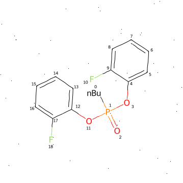 CCCCP(=O)(Oc1ccccc1F)Oc1ccccc1F